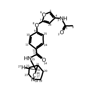 CC(=O)Nc1coc(Oc2ccc(C(=O)N[C@H]3CN4CCC3CC4)cc2)c1